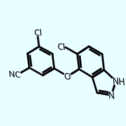 N#Cc1cc(Cl)cc(Oc2c(Cl)ccc3[nH]ncc23)c1